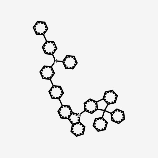 c1ccc(-c2ccc(N(c3ccccc3)c3cccc(-c4ccc(-c5ccc6c7ccccc7n(-c7ccc8c(c7)C(c7ccccc7)(c7ccccc7)c7ccccc7-8)c6c5)cc4)c3)cc2)cc1